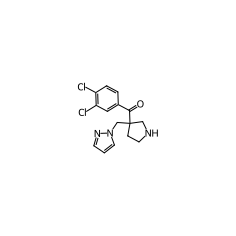 O=C(c1ccc(Cl)c(Cl)c1)C1(Cn2cccn2)CCNC1